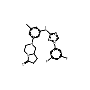 Cc1cc(Nc2ncn(-c3cc(F)cc(F)c3)n2)cc(N2CCN3C(=O)CCC3C2)c1